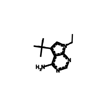 CCn1cc(C(C)(C)C)c2c(N)ncnc21